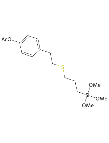 CO[Si](CCCSCCc1ccc(OC(C)=O)cc1)(OC)OC